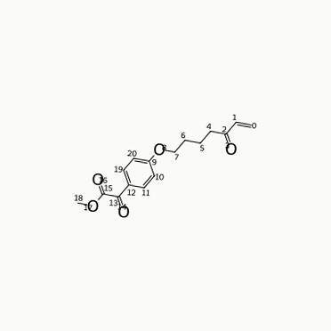 C=CC(=O)CCCCOc1ccc(C(=O)C(=O)OC)cc1